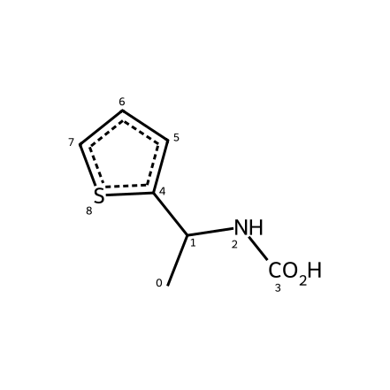 CC(NC(=O)O)c1cccs1